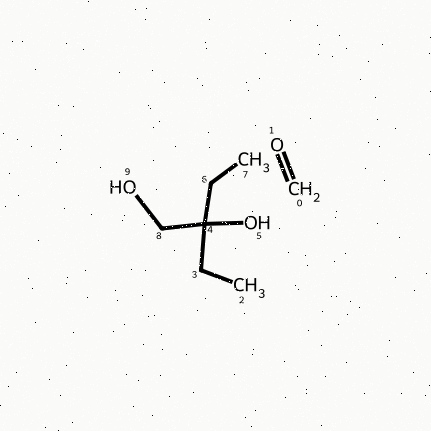 C=O.CCC(O)(CC)CO